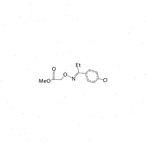 CCC(=NOCC(=O)OC)c1ccc(Cl)cc1